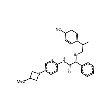 COC1CN(c2ccc(NC(=O)C(NCC(C)C3=CCC(C#N)C=C3)c3ccccc3)nc2)C1